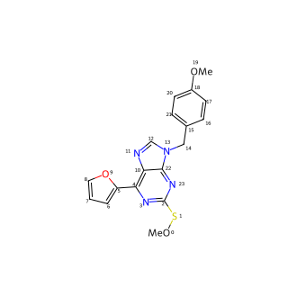 COSc1nc(-c2ccco2)c2ncn(Cc3ccc(OC)cc3)c2n1